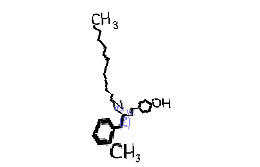 CCCCCCCCCCCC/N=C/C(=C\c1ccccc1C)/C=C/c1ccc(O)cc1